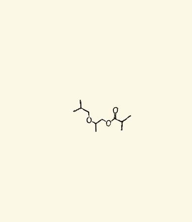 CC(C)COC(C)COC(=O)C(C)C